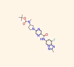 Cc1nc2c(F)cc(NC(=O)c3cnc(N4CC[C@@H](N(C)C(=O)OC(C)(C)C)C4)cn3)cn2n1